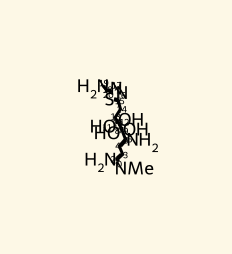 CN/C(N)=C/C=C(\N)C(O)(O)C(O)(O)CCc1nnc(N)s1